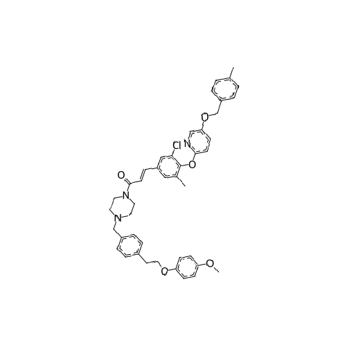 COc1ccc(OCCc2ccc(CN3CCN(C(=O)C=Cc4cc(C)c(Oc5ccc(OCc6ccc(C)cc6)cn5)c(Cl)c4)CC3)cc2)cc1